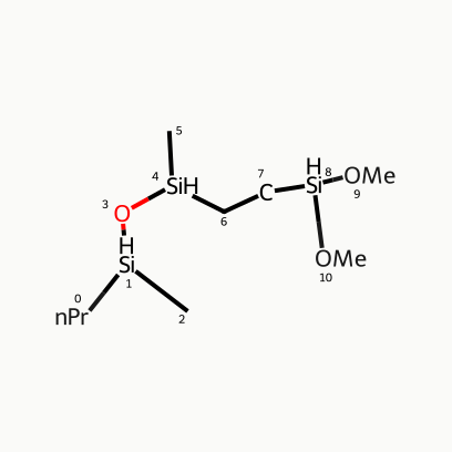 CCC[SiH](C)O[SiH](C)CC[SiH](OC)OC